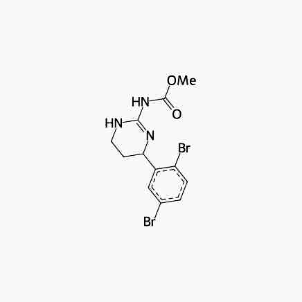 COC(=O)NC1=NC(c2cc(Br)ccc2Br)CCN1